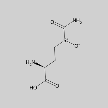 NC(=O)[S+]([O-])CC[C@H](N)C(=O)O